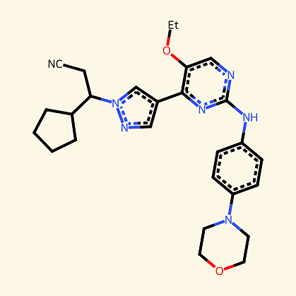 CCOc1cnc(Nc2ccc(N3CCOCC3)cc2)nc1-c1cnn(C(CC#N)C2CCCC2)c1